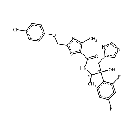 Cc1nc(COc2ccc(Cl)cc2)sc1C(=O)N[C@H](C)[C@](O)(Cn1cncn1)c1ccc(F)cc1F